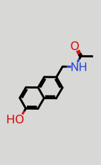 CC(=O)NCc1ccc2cc(O)ccc2c1